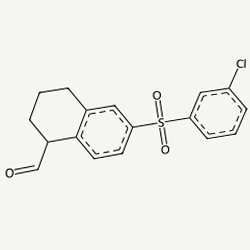 O=CC1CCCc2cc(S(=O)(=O)c3cccc(Cl)c3)ccc21